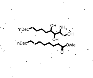 CCCCCCCCCCCCCCC(O)C(O)C(N)CO.CCCCCCCCCCCCCCCCCC(=O)OC